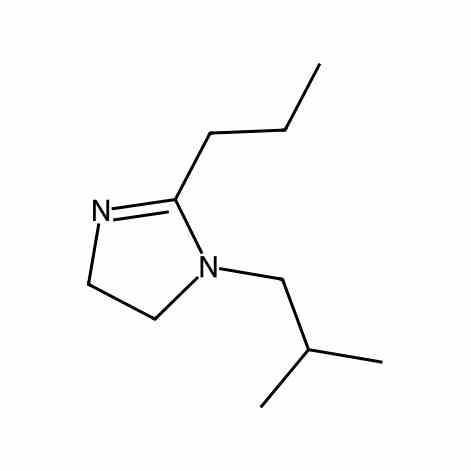 CCCC1=NCCN1CC(C)C